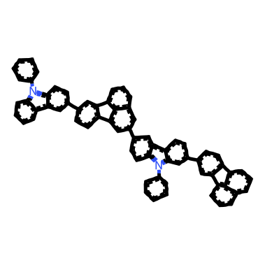 c1ccc(-n2c3ccccc3c3cc(-c4ccc5c(c4)-c4cccc6cc(-c7ccc8c(c7)c7ccc(-c9ccc%10c(c9)-c9cccc%11cccc-%10c9%11)cc7n8-c7ccccc7)cc-5c46)ccc32)cc1